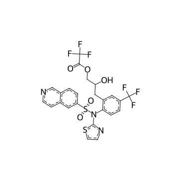 O=C(OCC(O)Cc1cc(C(F)(F)F)ccc1N(c1nccs1)S(=O)(=O)c1ccc2cnccc2c1)C(F)(F)F